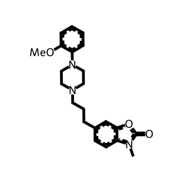 COc1ccccc1N1CCN(CCCc2ccc3c(c2)oc(=O)n3C)CC1